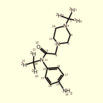 [2H]C([2H])([2H])N1CCN(CC(=O)N(c2ccc(N)cc2)C([2H])([2H])[2H])CC1